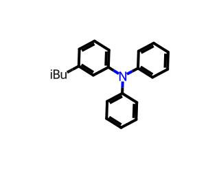 CCC(C)c1cccc(N(c2ccccc2)c2ccccc2)c1